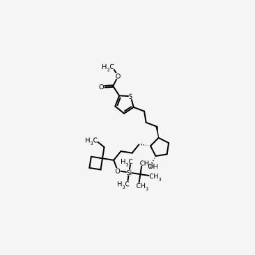 CCC1(C(CCC[C@@H]2[C@@H](CCCc3ccc(C(=O)OC)s3)CC[C@@H]2O)O[Si](C)(C)C(C)(C)C)CCC1